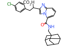 O=C(NCC12CC3CC(CC(C3)C1)C2)c1cccc2nc(C(Cc3ccc(Cl)cc3)C(=O)O)cn12